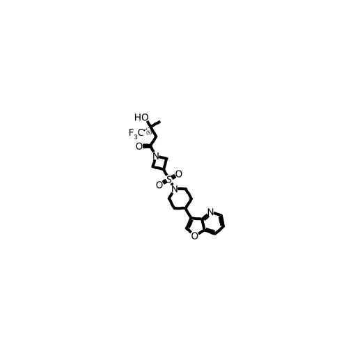 C[C@](O)(CC(=O)N1CC(S(=O)(=O)N2CCC(c3coc4cccnc34)CC2)C1)C(F)(F)F